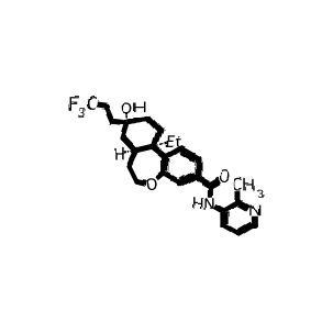 CC[C@@]12CC[C@](O)(CCC(F)(F)F)C[C@@H]1CCOc1cc(C(=O)Nc3cccnc3C)ccc12